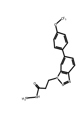 NNC(=O)CCn1nnc2ccc(-c3ccc(OC(F)(F)F)cc3)cc21